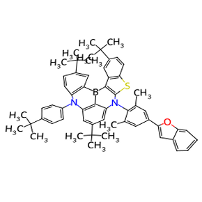 Cc1cc(-c2cc3ccccc3o2)cc(C)c1N1c2cc(C(C)(C)C)cc3c2B(c2cc(C(C)(C)C)ccc2N3c2ccc(C(C)(C)C)cc2)c2c1sc1ccc(C(C)(C)C)cc21